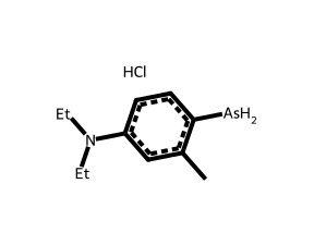 CCN(CC)c1ccc([AsH2])c(C)c1.Cl